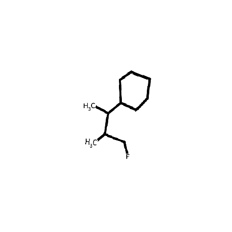 CC(CF)C(C)C1CCCCC1